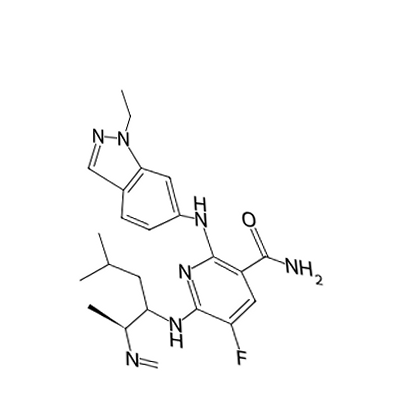 C=N[C@@H](C)C(CC(C)C)Nc1nc(Nc2ccc3cnn(CC)c3c2)c(C(N)=O)cc1F